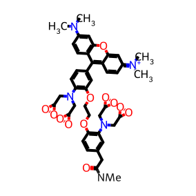 CNC(=O)Cc1ccc(OCCOc2cc(-c3c4ccc(=[N+](C)C)cc-4oc4cc(N(C)C)ccc34)ccc2N(CC2OO2)CC2OO2)c(N(CC2OO2)CC2OO2)c1